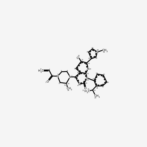 C=CC(=O)N1CCN(c2nc(=O)n(-c3ccccc3C(C)C)c3nc(-c4ccn(C)c4)c(Cl)cc23)[C@@H](C)C1